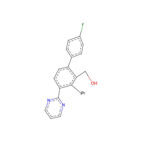 CC(C)c1c(-c2ncccn2)ccc(-c2ccc(F)cc2)c1CO